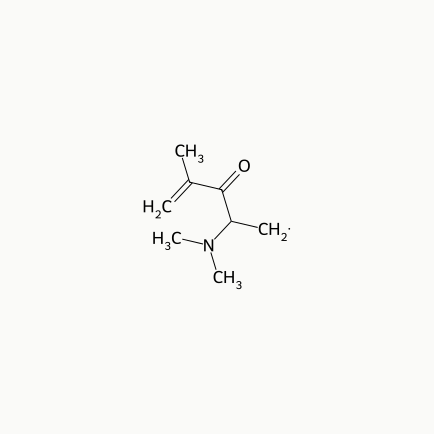 [CH2]C(C(=O)C(=C)C)N(C)C